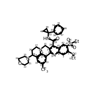 CCOc1cc2nc(-c3cccc(C(F)(F)F)c3)c(CN3CCC(N4CCOCC4)CC3)c(C(=O)NC3(c4ccccc4)CC3)c2cc1S(=O)(=O)CC